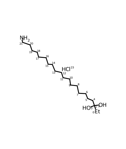 CCC(O)(O)CCCCCCCCCCCCCCCCCCN.Cl